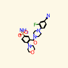 N#Cc1ccc(N2CCN(C(=O)c3cc(S(N)(=O)=O)ccc3N3CCOCC3)CC2)c(F)c1